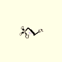 CC/C=C/S(=O)(=O)Cl